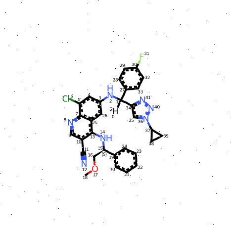 [2H]C(Nc1cc(Cl)c2ncc(C#N)c(N[C@H](COC)c3ccccc3)c2c1)(c1ccc(F)cc1)c1cn(C2CC2)nn1